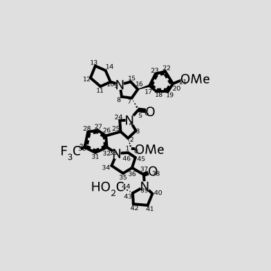 COC[C@H]1CN(C(=O)[C@@H]2CN(C3CCCC3)C[C@H]2c2ccc(OC)cc2)CC1c1ccc(C(F)(F)F)cc1N1CCC(C(=O)N2CCC[C@@H]2C(=O)O)CC1